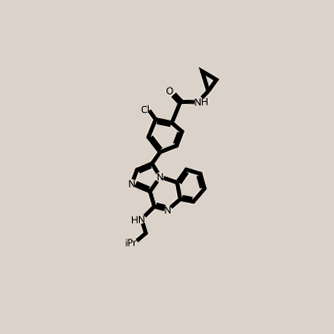 CC(C)CNc1nc2ccccc2n2c(-c3ccc(C(=O)NC4CC4)c(Cl)c3)cnc12